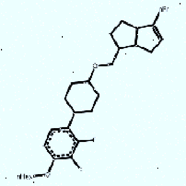 CCCCCCOc1ccc(C2CCC(OCC3CCC4C(CCC)=CCC34)CC2)c(F)c1F